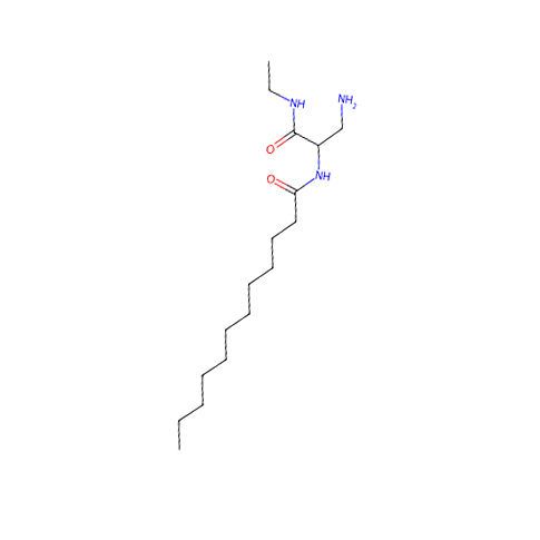 CCCCCCCCCCCC(=O)NC(CN)C(=O)NCC